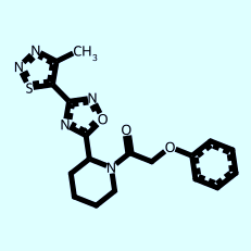 Cc1nnsc1-c1noc(C2CCCCN2C(=O)COc2ccccc2)n1